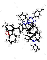 c1ccc(-c2nc(-c3ccccc3)nc(-c3ccccc3-n3c4cc(-c5cccc6oc7ccccc7c56)ccc4c4c(-c5cccc6c5c5ccccc5n6-c5ccccc5)cccc43)n2)cc1